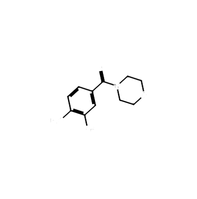 Cc1ccc(C(=O)N2CCOCC2)cc1C